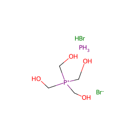 Br.OC[P+](CO)(CO)CO.P.[Br-]